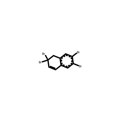 Brc1cc2c(cc1Br)CC(Br)(Br)C=C2